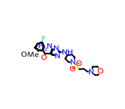 COc1ccc(F)cc1C(=O)c1cnc(NC2CCN(S(=O)(=O)CCCN3CCOCC3)CC2)nc1N